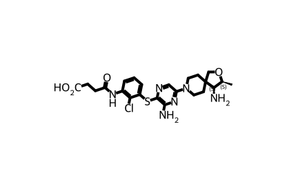 C[C@@H]1OCC2(CCN(c3cnc(Sc4cccc(NC(=O)CCC(=O)O)c4Cl)c(N)n3)CC2)[C@@H]1N